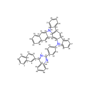 c1ccc2cc(-c3nc(-c4ccc(-n5c6ccccc6c6cc7c8ccccc8n8c9cc%10ccccc%10cc9c(c65)c78)cc4)nc4ccccc34)ccc2c1